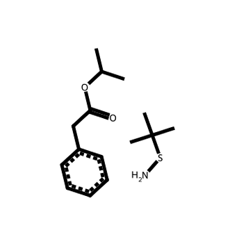 CC(C)(C)SN.CC(C)OC(=O)Cc1ccccc1